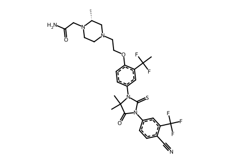 C[C@@H]1CN(CCOc2ccc(N3C(=S)N(c4ccc(C#N)c(C(F)(F)F)c4)C(=O)C3(C)C)cc2C(C)(F)F)CCN1CC(N)=O